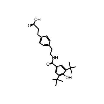 CC(C)(C)c1cc(C(=O)NCCc2ccc(CCC(=O)O)cc2)cc(C(C)(C)C)c1O